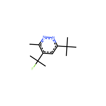 Cc1nnc(C(C)(C)C)cc1C(C)(C)F